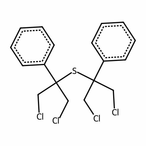 ClCC(CCl)(SC(CCl)(CCl)c1ccccc1)c1ccccc1